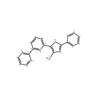 Cc1nc(-c2cccnc2)sc1-c1cccc(-c2ncccn2)n1